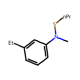 CCCSN(C)c1cccc(CC)c1